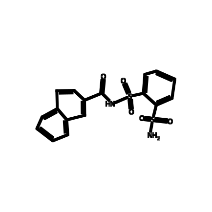 NS(=O)(=O)c1ccccc1S(=O)(=O)NC(=O)c1ccc2ccccc2c1